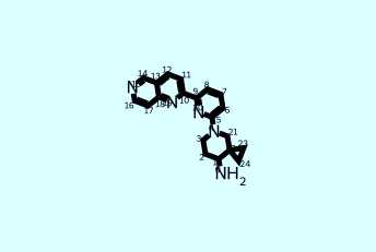 NC1CCN(c2cccc(-c3ccc4cnccc4n3)n2)CC12CC2